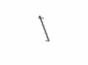 CNCCOCCOCCOCCOCCOCCOCCOCCOCCOCCOCCNC(=O)OC(C)(C)C